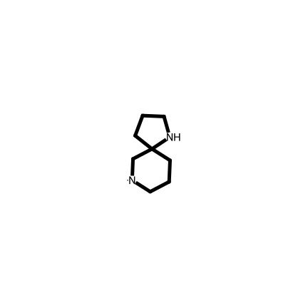 C1C[N]CC2(C1)CCCN2